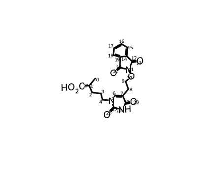 CC(CCCn1cc(CCON2C(=O)c3ccccc3C2=O)c(=O)[nH]c1=O)C(=O)O